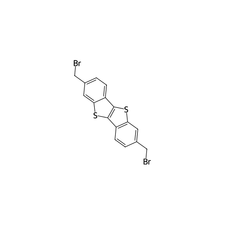 BrCc1ccc2c(c1)sc1c3ccc(CBr)cc3sc21